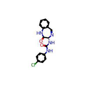 O=C(Nc1ccc(Cl)cc1)N[C@H]1N=Cc2ccccc2NC1=O